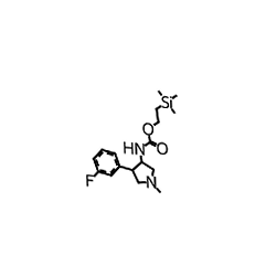 CN1CC(NC(=O)OCC[Si](C)(C)C)C(c2cccc(F)c2)C1